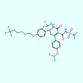 CN(C)S(=O)(=O)NC(=O)C1=C(c2ccc(OC(F)F)cc2)C[C@](c2ccc(OCCCCCC(F)(F)F)cc2)(C(F)(F)F)NC1=O